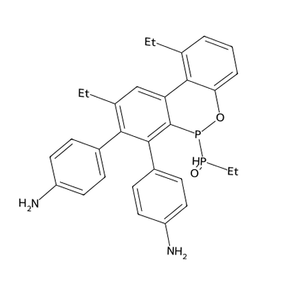 CCc1cccc2c1-c1cc(CC)c(-c3ccc(N)cc3)c(-c3ccc(N)cc3)c1P([PH](=O)CC)O2